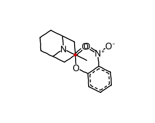 CC1CC2CCCC(C1)N2C(=O)Oc1ccccc1[N+](=O)[O-]